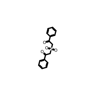 O=C(CS(=O)(=O)CC(=O)c1ccccc1)c1ccccc1